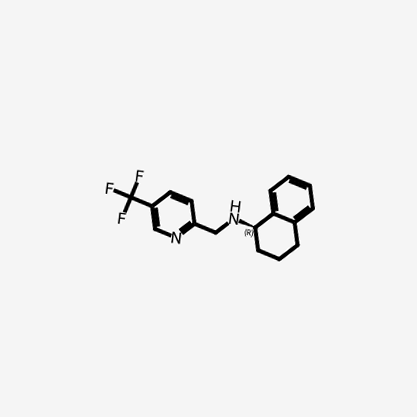 FC(F)(F)c1ccc(CN[C@@H]2CCCc3ccccc32)nc1